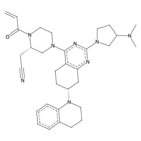 C=CC(=O)N1CCN(c2nc(N3CCC(N(C)C)C3)nc3c2CC[C@@H](N2CCCc4ccccc42)C3)C[C@@H]1CC#N